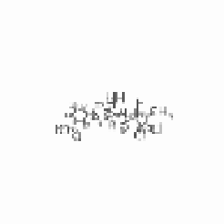 Cc1[nH]c(C(=O)N[C@H]2[C@@H]3CN(c4cccc(C(=O)O)c4)C[C@@H]32)c(Cl)c1Cl.[LiH]